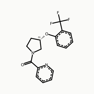 O=C(c1ccccn1)N1CC[C@H](Oc2ccccc2C(F)(F)F)C1